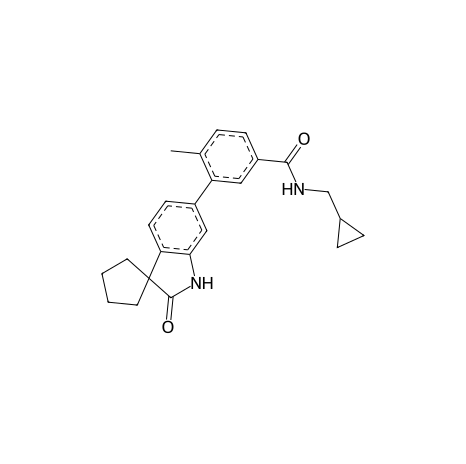 Cc1ccc(C(=O)NCC2CC2)cc1-c1ccc2c(c1)NC(=O)C21CCCC1